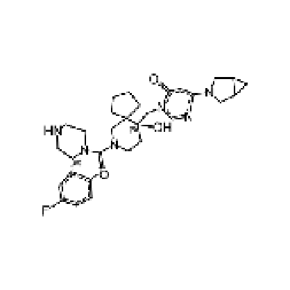 O=C(N1CC[C@@](O)(Cn2cnc(N3CC4CC4C3)cc2=O)C2(CCCC2)C1)N1CCNC[C@H]1c1cc(F)ccc1F